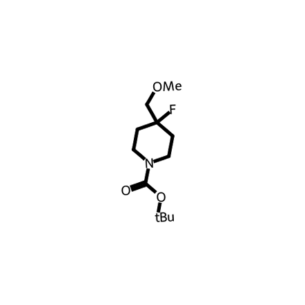 COCC1(F)CCN(C(=O)OC(C)(C)C)CC1